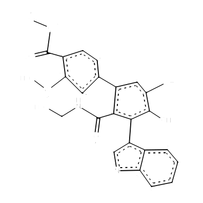 CCNC(=O)c1c(-c2ccc(C(=O)OC)c(OC)c2)cc(C)c(C)c1-c1c[nH]c2ccccc12